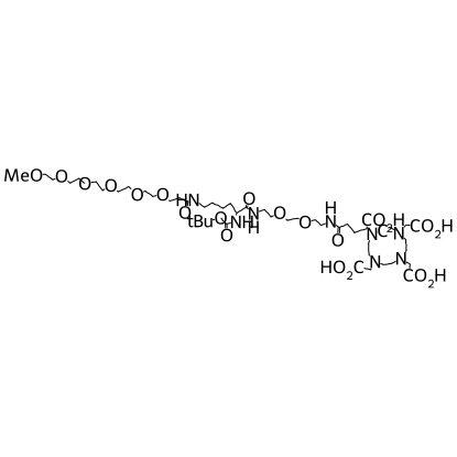 COCCOCCOCCOCCOCCOCCC(=O)NCCCCC(NC(=O)OC(C)(C)C)C(=O)NCCOCCOCCNC(=O)CCC(C(=O)O)N1CCN(CC(=O)O)CCN(CC(=O)O)CCN(CC(=O)O)CC1